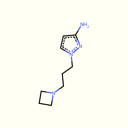 Nc1ccn(CCCN2CCC2)n1